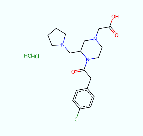 Cl.Cl.O=C(O)CN1CCN(C(=O)Cc2ccc(Cl)cc2)C(CN2CCCC2)C1